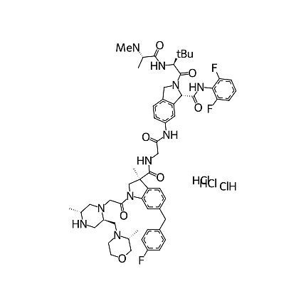 CN[C@@H](C)C(=O)N[C@H](C(=O)N1Cc2ccc(NC(=O)CNC(=O)[C@]3(C)CN(C(=O)CN4C[C@@H](C)NC[C@@H]4CN4CCOC[C@H]4C)c4cc(Cc5ccc(F)cc5)ccc43)cc2[C@H]1C(=O)Nc1c(F)cccc1F)C(C)(C)C.Cl.Cl.Cl